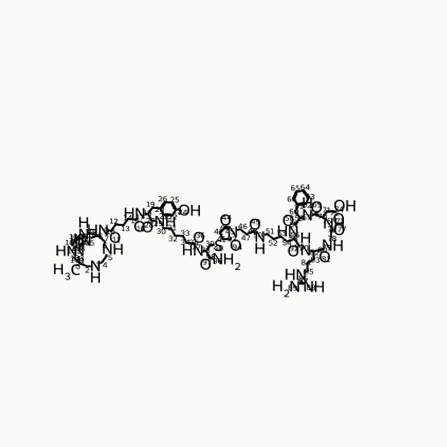 CC12CNCCNCC(NC(=O)CCCC(=O)NC(Cc3ccc(O)cc3)C(=O)NCCCCCC(=O)NC(CSC3CC(=O)N(CCC(=O)NCCCCC4NC(=O)C(Cc5ccccc5)NC(=O)C(CC(=O)O)NC(=O)CNC(=O)C(CCCNC(=N)N)NC4=O)C3=O)C(N)=O)(CNCCNC1)CNCCNC2